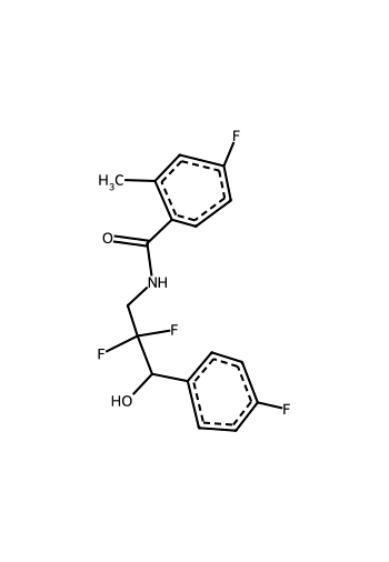 Cc1cc(F)ccc1C(=O)NCC(F)(F)C(O)c1ccc(F)cc1